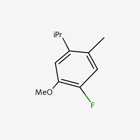 COc1cc(C(C)C)c(C)cc1F